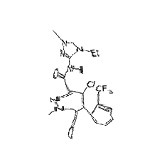 CCN1CN(C)N=C1NC(=O)c1nn(C)c(=O)c(-c2ccccc2C(F)(F)F)c1Cl